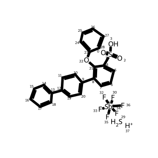 O=S(=O)(O)c1cccc(-c2ccc(-c3ccccc3)cc2)c1Oc1ccccc1.S.[F][Sb-]([F])([F])([F])([F])[F].[H+]